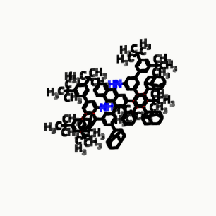 CC(C)(C)c1cc(-c2cc(Nc3c4ccccc4c(Nc4cc(-c5cc(C(C)(C)C)cc(C(C)(C)C)c5)cc(-c5cc(C(C)(C)C)cc(C(C)(C)C)c5)c4)c4c(-c5cc(C6C7CC8CC(C7)CC6C8)cc(C6C7CC8CC(C7)CC6C8)c5)c(-c5ccccc5)c(-c5cc(C6C7CC8CC(C7)CC6C8)cc(C6C7CC8CC(C7)CC6C8)c5)cc34)cc(-c3cc(C(C)(C)C)cc(C(C)(C)C)c3)c2)cc(C(C)(C)C)c1